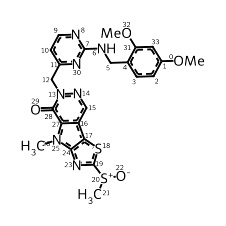 COc1ccc(CNc2nccc(Cn3ncc4c5sc([S+](C)[O-])nc5n(C)c4c3=O)n2)c(OC)c1